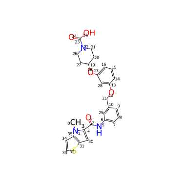 Cn1c(C(=O)Nc2cccc(COc3cccc(OC4CCN(C(=O)O)CC4)c3)c2)cc2sccc21